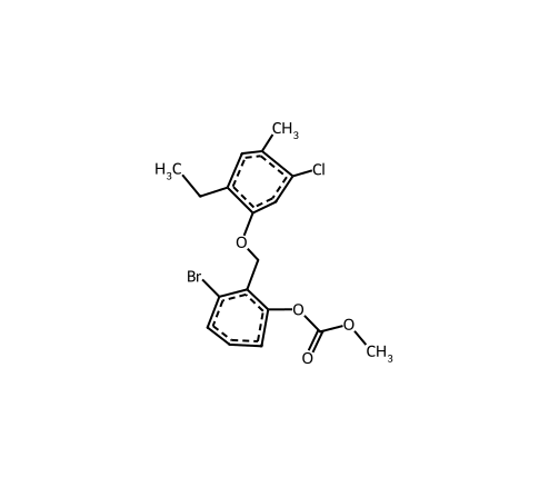 CCc1cc(C)c(Cl)cc1OCc1c(Br)cccc1OC(=O)OC